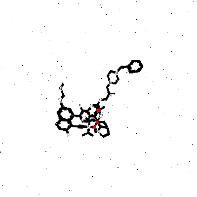 COCOc1cc(-c2ncc3c(C4CC5CCN(N4)C5C(=O)OC(C)(C)C)nc(OC[C@H](C)CN4CCN(Cc5ccccc5)CC4)nc3c2F)c2c(C#C[Si](C(C)C)(C(C)C)C(C)C)c(F)ccc2c1